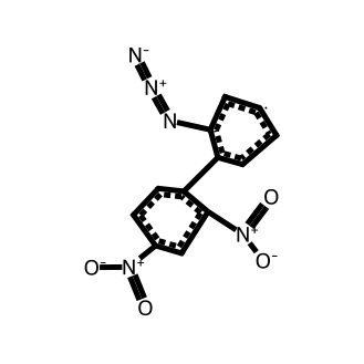 [N-]=[N+]=Nc1c[c]ccc1-c1ccc([N+](=O)[O-])cc1[N+](=O)[O-]